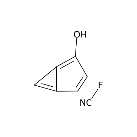 N#CF.Oc1ccc2cc1-2